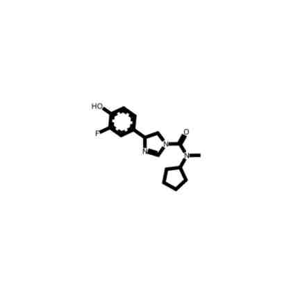 CN(C(=O)N1C=NC(c2ccc(O)c(F)c2)C1)C1CCCC1